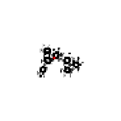 Fc1c(F)c(F)c(B(c2c(F)c(F)c(F)c(F)c2F)c2c(F)c(F)c(F)c(F)c2F)c(F)c1F.Fc1c(F)c(F)c(B(c2c(F)c(F)c(F)c(F)c2F)c2c(F)c(F)c(F)c(F)c2F)c(F)c1F.c1ccc2[nH]cnc2c1